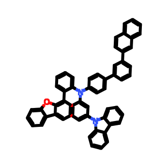 c1cc(-c2ccc(N(c3cccc(-n4c5ccccc5c5ccccc54)c3)c3ccccc3-c3cccc4c3oc3ccccc34)cc2)cc(-c2ccc3ccccc3c2)c1